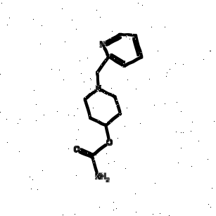 NC(=O)OC1CCN(Cc2ccccn2)CC1